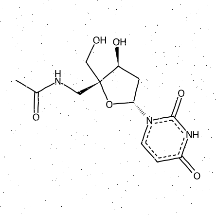 CC(=O)NC[C@]1(CO)O[C@@H](n2ccc(=O)[nH]c2=O)C[C@@H]1O